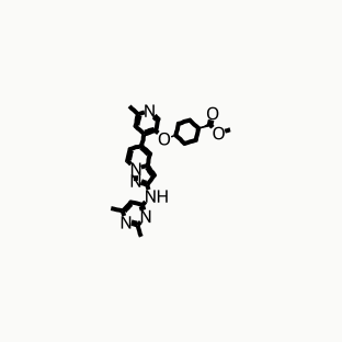 COC(=O)[C@H]1CC[C@H](Oc2cnc(C)cc2-c2ccn3nc(Nc4cc(C)nc(C)n4)cc3c2)CC1